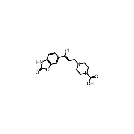 O=C(O)N1CCN(CC=C(Cl)c2ccc3[nH]c(=O)oc3c2)CC1